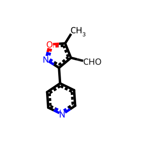 Cc1onc(-c2ccncc2)c1C=O